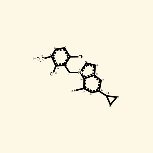 O=C(O)c1ccc(Cl)c(Cn2ccc3cc(C4CC4)cc(F)c32)c1Cl